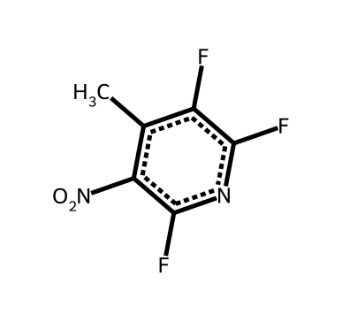 Cc1c(F)c(F)nc(F)c1[N+](=O)[O-]